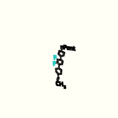 CC#Cc1ccc(-c2ccc(-c3ccc(CCCCC)cc3)c(F)c2F)cc1